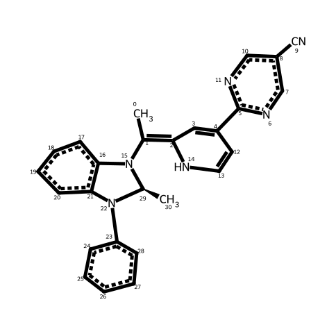 C/C(=C1\C=C(c2ncc(C#N)cn2)C=CN1)N1c2ccccc2N(c2ccccc2)[C@@H]1C